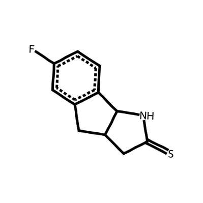 Fc1ccc2c(c1)CC1CC(=S)NC21